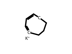 [C-]1=C\C=C/CCCC/1.[K+]